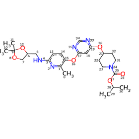 Cc1nc(NCC2COC(C)(C)O2)ccc1Oc1cc(OC2CCN(C(=O)OC(C)C)CC2)ncn1